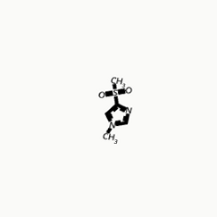 Cn1cnc(S(C)(=O)=O)c1